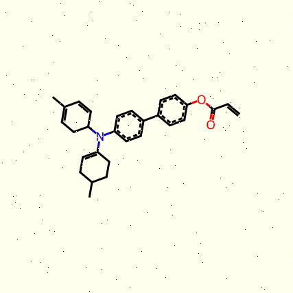 C=CC(=O)Oc1ccc(-c2ccc(N(C3=CCC(C)CC3)C3C=CC(C)=CC3)cc2)cc1